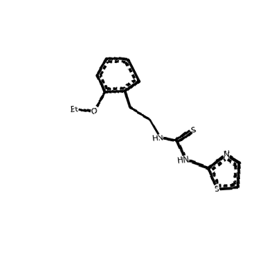 CCOc1ccccc1CCNC(=S)Nc1nccs1